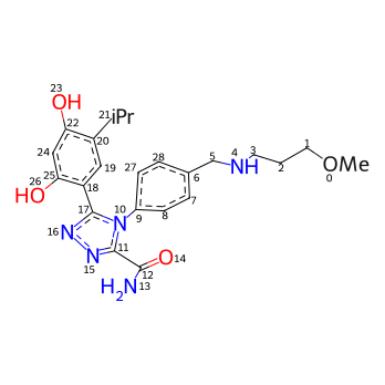 COCCCNCc1ccc(-n2c(C(N)=O)nnc2-c2cc(C(C)C)c(O)cc2O)cc1